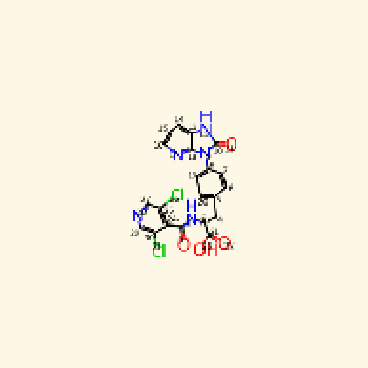 O=C(N[C@@H](Cc1ccc(-n2c(=O)[nH]c3cccnc32)cc1)C(=O)O)c1c(Cl)cncc1Cl